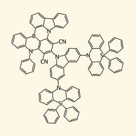 N#Cc1c2c3c(c(C#N)c1-n1c4ccc(N5c6ccccc6[Si](c6ccccc6)(c6ccccc6)c6ccccc65)cc4c4cc(N5c6ccccc6[Si](c6ccccc6)(c6ccccc6)c6ccccc65)ccc41)-n1c4ccccc4c4cccc(c41)B3c1ccccc1N2c1ccccc1